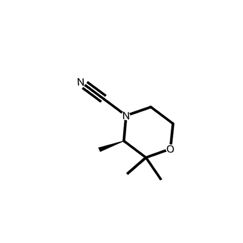 C[C@H]1N(C#N)CCOC1(C)C